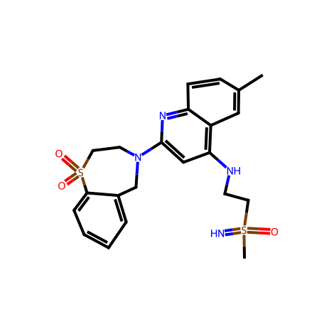 Cc1ccc2nc(N3CCS(=O)(=O)c4ccccc4C3)cc(NCCS(C)(=N)=O)c2c1